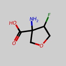 NC1(C(=O)O)COCC1F